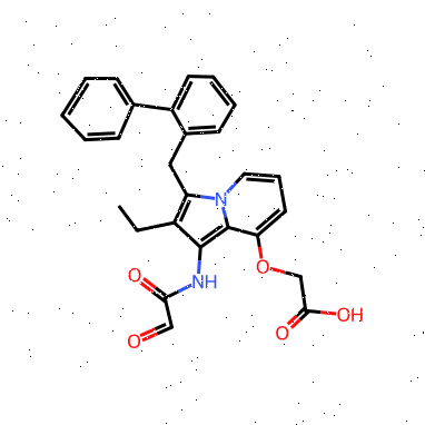 CCc1c(NC(=O)C=O)c2c(OCC(=O)O)cccn2c1Cc1ccccc1-c1ccccc1